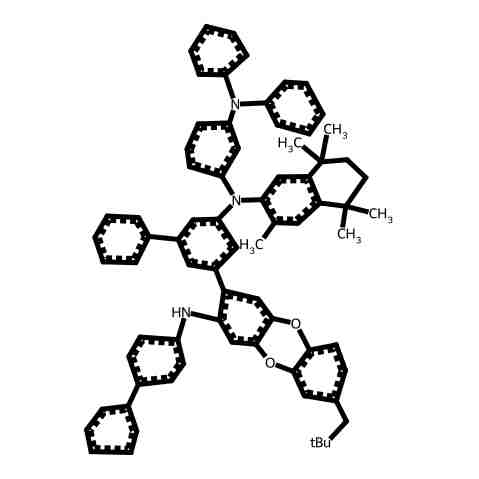 Cc1cc2c(cc1N(c1cc(-c3ccccc3)cc(-c3cc4c(cc3Nc3ccc(-c5ccccc5)cc3)Oc3cc(CC(C)(C)C)ccc3O4)c1)c1cccc(N(c3ccccc3)c3ccccc3)c1)C(C)(C)CCC2(C)C